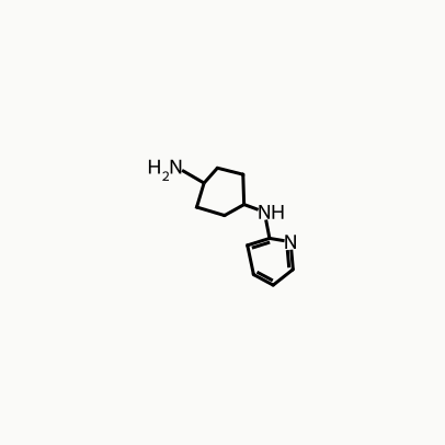 NC1CCC(Nc2ccccn2)CC1